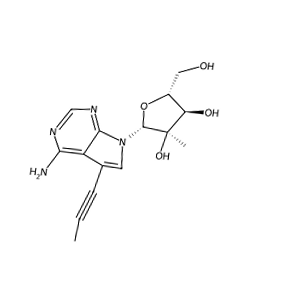 CC#Cc1cn([C@@H]2O[C@H](CO)[C@@H](O)[C@@]2(C)O)c2ncnc(N)c12